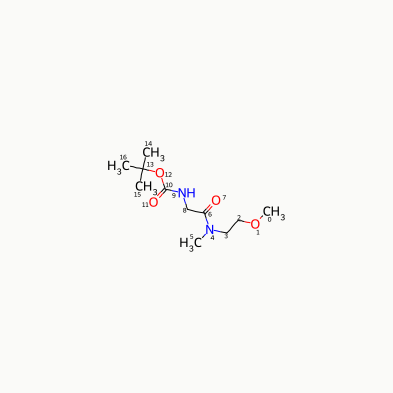 COCCN(C)C(=O)CNC(=O)OC(C)(C)C